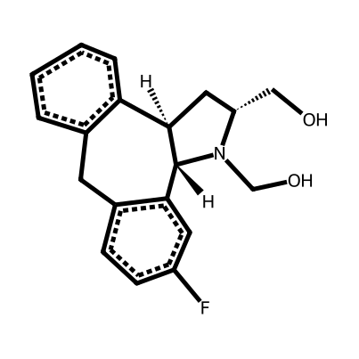 OC[C@H]1C[C@@H]2c3ccccc3Cc3ccc(F)cc3[C@H]2N1CO